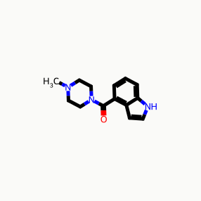 CN1CCN(C(=O)c2cccc3[nH]ccc23)CC1